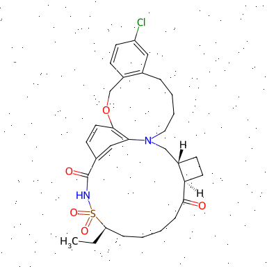 CC[C@@H]1CCCCC(=O)[C@@H]2CC[C@H]2CN2CCCCc3cc(Cl)ccc3COc3ccc(cc32)C(=O)NS1(=O)=O